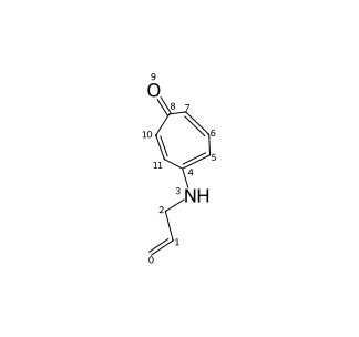 C=CCNc1cccc(=O)cc1